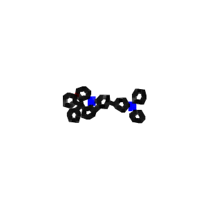 c1ccc(N(c2ccccc2)c2ccc(-c3ccc4c(c3)c3cccc5c3n4-c3ccccc3C5(c3ccccc3)c3ccccc3)cc2)cc1